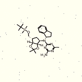 Cc1nc(N)nc(N([C@@H]2C[C@@H](CO[Si](C)(C)C(C)(C)C)[C@H]3OC(C)(C)O[C@H]32)[C@H]2CCc3ccccc32)n1